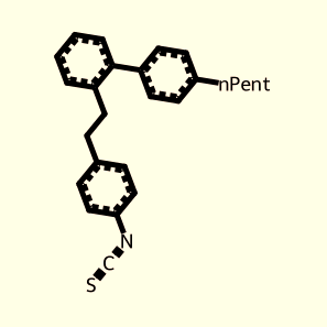 CCCCCc1ccc(-c2ccccc2CCc2ccc(N=C=S)cc2)cc1